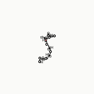 C[C@H](Cc1cccc(CCNC(=O)Cc2ccc(CNC(=O)CCN3CCC(OC(=O)Nc4ccccc4-c4ccccc4)CC3)cc2)c1)NC[C@H](O[Si](C)(C)C(C)(C)C)c1ccc(OCc2ccccc2)c2[nH]c(=O)ccc12